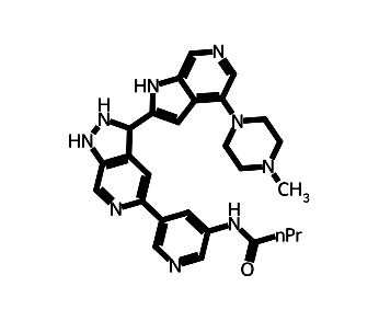 CCCC(=O)Nc1cncc(-c2cc3c(cn2)NNC3c2cc3c(N4CCN(C)CC4)cncc3[nH]2)c1